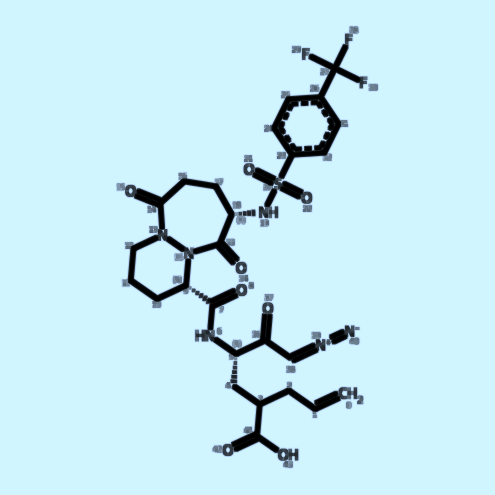 C=CCC(C[C@H](NC(=O)[C@@H]1CCCN2C(=O)CC[C@H](NS(=O)(=O)c3ccc(C(F)(F)F)cc3)C(=O)N12)C(=O)C=[N+]=[N-])C(=O)O